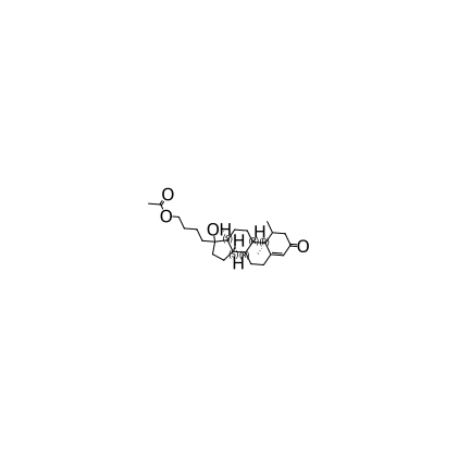 CC(=O)OCCCCC1(O)CC[C@H]2[C@@H]3CCC4=CC(=O)CC(C)[C@]4(C)[C@@H]3CC[C@@]21C